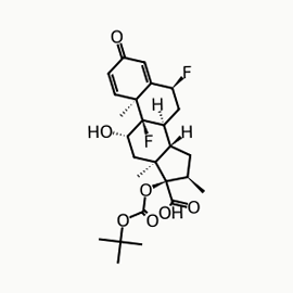 C[C@@H]1C[C@H]2[C@@H]3C[C@H](F)C4=CC(=O)C=C[C@]4(C)[C@@]3(F)[C@@H](O)C[C@]2(C)[C@@]1(OC(=O)OC(C)(C)C)C(=O)O